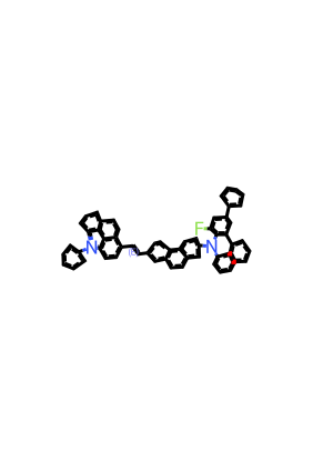 Fc1cc(-c2ccccc2)cc(-c2ccccc2)c1N(c1ccccc1)c1ccc2c(ccc3cc(/C=C/c4ccc5c6c4ccc4cccc(c46)n5-c4ccccc4)ccc32)c1